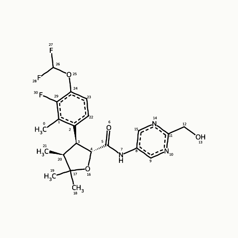 Cc1c([C@H]2[C@H](C(=O)Nc3cnc(CO)nc3)OC(C)(C)[C@H]2C)ccc(OC(F)F)c1F